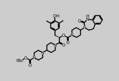 Cc1cc(C[C@@H](OC(=O)N2CCC(N3CCc4ccccc4NC3=O)CC2)C(=O)N2CCC(N3CCN(C(=O)OC(C)(C)C)CC3)CC2)cc(C)c1O